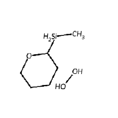 C[SiH2]C1CCCCO1.OO